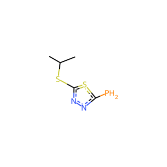 CC(C)Sc1nnc(P)s1